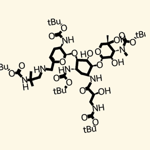 CN(C(=O)OC(C)(C)C)[C@@H]1[C@@H](O)[C@@H](O[C@@H]2[C@@H](O)[C@H](O[C@H]3OC(CNCC(C)(C)NC(=O)OC(C)(C)C)=CC[C@H]3NC(=O)OC(C)(C)C)[C@@H](NC(=O)OC(C)(C)C)C[C@H]2NC(=O)[C@@H](O)CNC(=O)OC(C)(C)C)OC[C@]1(C)O